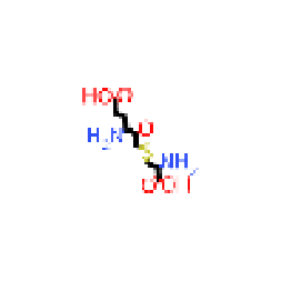 NC(CSCC(=O)C(N)CCC(=O)O)C(=O)O